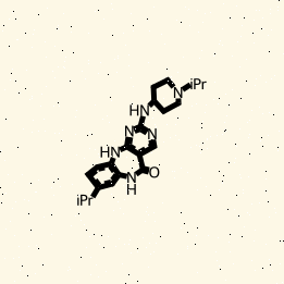 CC(C)c1ccc2c(c1)NC(=O)c1cnc(NC3CCN(C(C)C)CC3)nc1N2